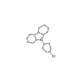 CCc1ccc(-n2c3ccccc3c3ccccc32)cc1